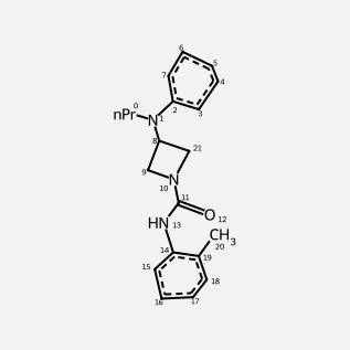 CCCN(c1ccccc1)C1CN(C(=O)Nc2ccccc2C)C1